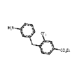 CCOC(=O)c1ccc(Cc2cccc(N)c2)c(C(F)(F)F)c1